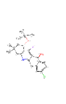 CC(C)c1nc2c(c(I)c1[C@@H](O)c1ccc(Cl)cc1)[C@@H](O[Si](C)(C)C(C)(C)C)CC(C)(C)C2